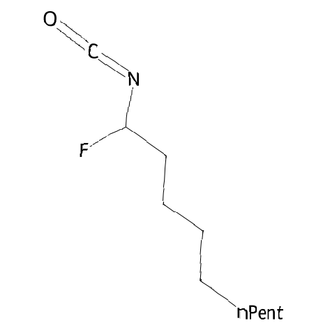 CCCCCCCCCC(F)N=C=O